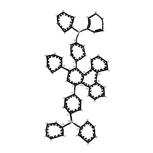 C1=CC(N(c2ccccc2)c2ccc(-c3c(-c4ccccc4)cc(-c4ccc(N(c5ccccc5)c5ccccc5)cc4)c4c5ccccc5c5ccccc5c34)cc2)=CCC1